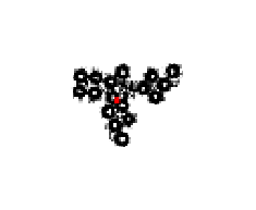 c1ccc([Si](c2ccccc2)(c2ccccc2)c2cccc(-n3c4ccccc4c4c3ccc3c5ccccc5n(-c5nc(-c6ccc([Si](c7ccccc7)(c7ccccc7)c7ccc8oc9ccccc9c8c7)cc6)nc(-c6ccc([Si](c7ccccc7)(c7ccccc7)c7ccc8oc9ccccc9c8c7)cc6)n5)c34)c2)cc1